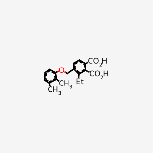 CCc1c(COc2cccc(C)c2C)ccc(C(=O)O)c1C(=O)O